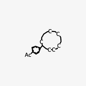 CC(=O)c1ccc(C2CCCCCCCCCCCCCC2)cc1